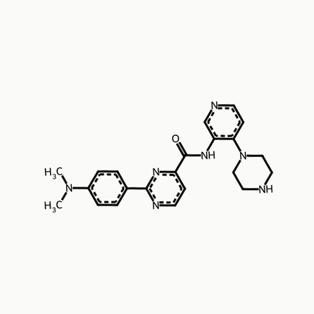 CN(C)c1ccc(-c2nccc(C(=O)Nc3cnccc3N3CCNCC3)n2)cc1